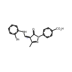 CC1=NN(c2ccc(C(=O)O)cc2)C(=O)/C1=C\Nc1ccccc1C(C)C